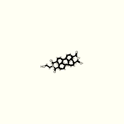 O=C1OC(=O)c2ccc3c4ccc5c6c(ccc(c7ccc1c2c73)c64)C(=O)N(CCO)C5=O